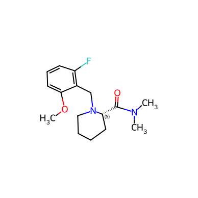 COc1cccc(F)c1CN1CCCC[C@H]1C(=O)N(C)C